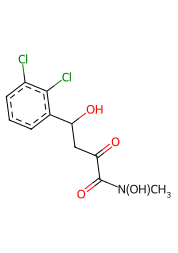 CN(O)C(=O)C(=O)CC(O)c1cccc(Cl)c1Cl